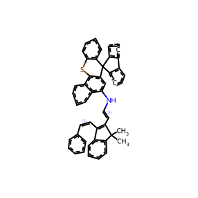 CC1(C)C(/C=C/Nc2cc3c(c4ccccc24)Sc2ccccc2C32c3ccccc3-c3ccccc32)=C(/C=C\c2ccccc2)c2ccccc21